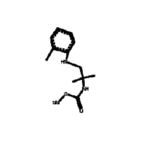 Cc1ccccc1NCC(C)(C)NC(=O)OC(C)(C)C